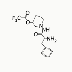 NC(Cc1ccccc1)C(=O)NN1CCCC(OC(=O)C(F)(F)F)C1